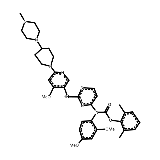 COc1ccc(N(C(=O)Oc2c(C)cccc2C)c2ccnc(Nc3cnc(N4CCC(N5CCN(C)CC5)CC4)cc3OC)n2)c(OC)c1